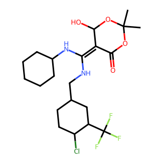 CC1(C)OC(=O)/C(=C(\NCC2CCC(Cl)C(C(F)(F)F)C2)NC2CCCCC2)C(O)O1